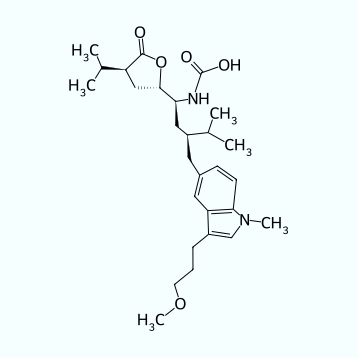 COCCCc1cn(C)c2ccc(C[C@@H](C[C@H](NC(=O)O)[C@@H]3C[C@@H](C(C)C)C(=O)O3)C(C)C)cc12